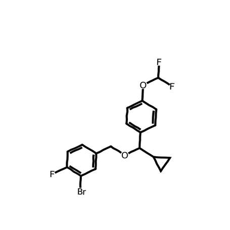 Fc1ccc(COC(c2ccc(OC(F)F)cc2)C2CC2)cc1Br